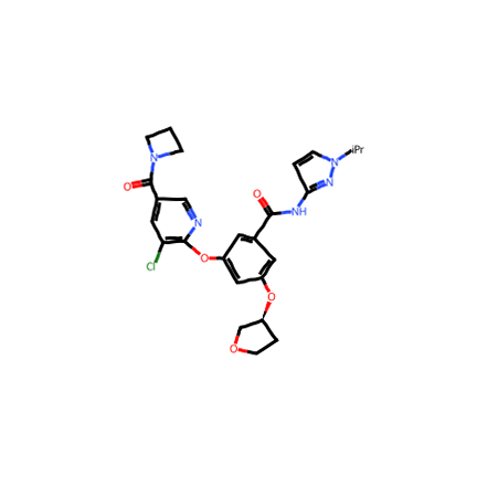 CC(C)n1ccc(NC(=O)c2cc(Oc3ncc(C(=O)N4CCC4)cc3Cl)cc(O[C@H]3CCOC3)c2)n1